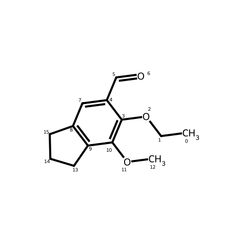 CCOc1c(C=O)cc2c(c1OC)CCC2